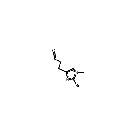 Cn1cc(CCC=O)nc1Br